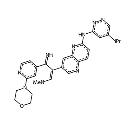 CN/C=C(\C(=N)c1ccnc(N2CCOCC2)c1)c1cnc2ccc(Nc3cc(C(C)C)cnn3)nc2c1